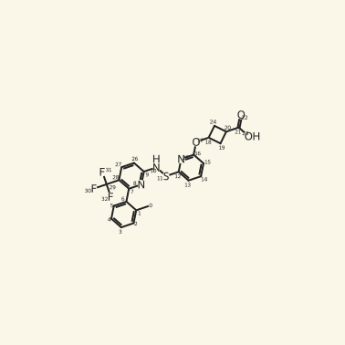 Cc1ccccc1-c1nc(NSc2cccc(OC3CC(C(=O)O)C3)n2)ccc1C(F)(F)F